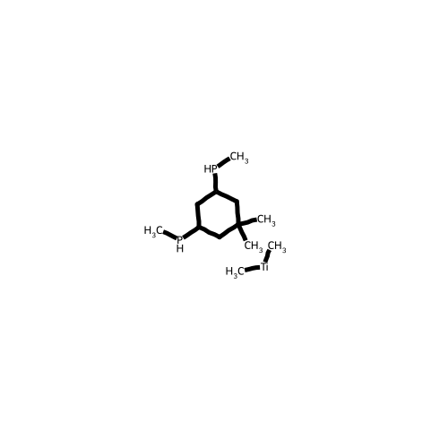 CPC1CC(PC)CC(C)(C)C1.[CH3][Ti][CH3]